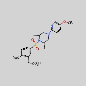 COc1ccc(S(=O)(=O)N2C(C)CN(c3ccc(OC(F)(F)F)cn3)CC2C)cc1CC(=O)O